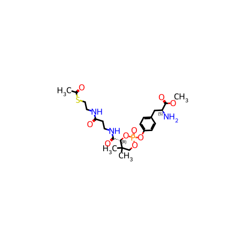 COC(=O)[C@@H](N)Cc1ccc(OP2(=O)OCC(C)(C)[C@H](C(=O)NCCC(=O)NCCSC(C)=O)O2)cc1